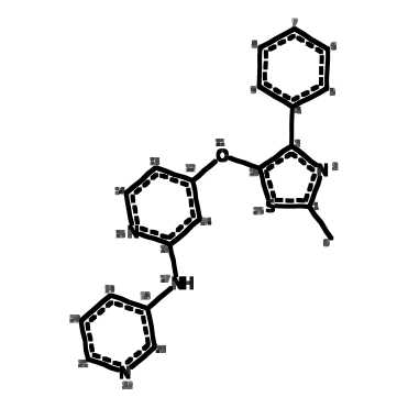 Cc1nc(-c2ccccc2)c(Oc2ccnc(Nc3cccnc3)c2)s1